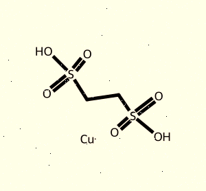 O=S(=O)(O)CCS(=O)(=O)O.[Cu]